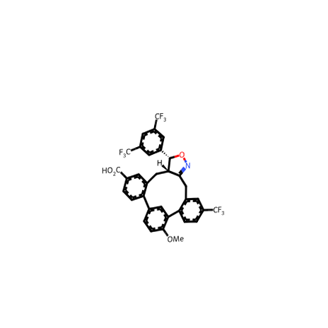 COc1ccc2cc1-c1ccc(C(F)(F)F)cc1CC1=NO[C@@H](c3cc(C(F)(F)F)cc(C(F)(F)F)c3)[C@H]1Cc1cc(C(=O)O)ccc1-2